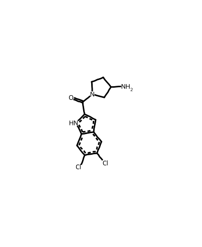 NC1CCN(C(=O)c2cc3cc(Cl)c(Cl)cc3[nH]2)C1